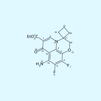 CCOC(=O)c1cn2c3c(c(F)c(F)c(N)c3c1=O)OCC21CCC1